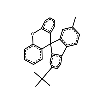 Cc1ccc2c(c1)C1(c3ccccc3Oc3ccccc31)c1cc(C(C)(C)C)ccc1-2